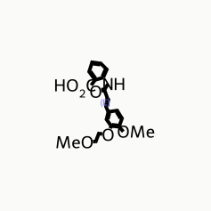 COCCOc1cc(/C=C/C(=O)Nc2ccccc2C(=O)O)ccc1OC